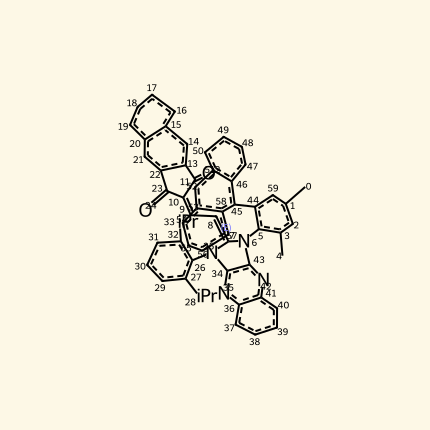 Cc1cc(C)c(N2/C(=C/C=C3C(=O)c4cc5ccccc5cc4C3=O)N(c3c(C(C)C)cccc3C(C)C)c3nc4ccccc4nc32)c(-c2c3ccccc3cc3ccccc23)c1